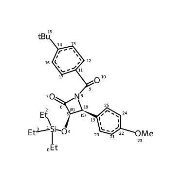 CC[Si](CC)(CC)O[C@H]1C(=O)N(C(=O)c2ccc(C(C)(C)C)cc2)[C@H]1c1ccc(OC)cc1